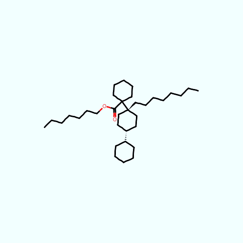 CCCCCCCC[C@]1(C2(C(=O)OCCCCCCC)CCCCC2)CC[C@@H](C2CCCCC2)CC1